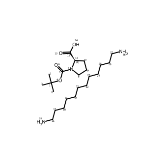 CC(C)(C)OC(=O)N1CCC[C@@H]1C(=O)O.NCCCCCCCCCCCCN